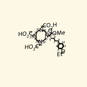 CCOc1ccc(CCCC[C@@H](C(=O)OC)N2CCN(CC(=O)O)CCN(CC(=O)O)CCN(CC(=O)O)CC2)cc1